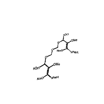 CCCCCCCCC(OCOCOC(CCCCCCCC)C(OC)=C(CCCCC)OC)C(OC)=C(CCCCC)OC